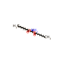 CCCCCCCCCC(=O)OCC(N)COC(=O)CCCCCCCCC